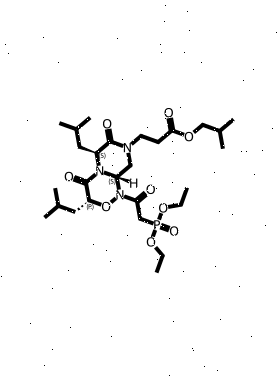 CCOP(=O)(CC(=O)N1O[C@H](CC(C)C)C(=O)N2[C@@H]1CN(CCC(=O)OCC(C)C)C(=O)[C@@H]2CC(C)C)OCC